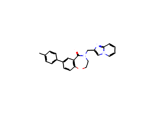 Cc1ccc(-c2ccc3c(c2)C(=O)N(Cc2cn4ccccc4n2)CCO3)cc1